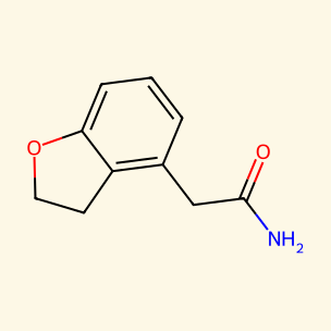 NC(=O)Cc1cccc2c1CCO2